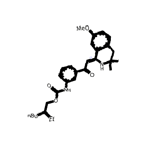 CCCCC(CC)COC(=O)Nc1cccc(C(=O)/C=C2\NC(C)(C)Cc3ccc(OC)cc32)c1